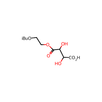 CC(C)COCCOC(=O)C(O)C(O)C(=O)O